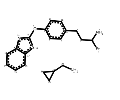 CCC(N)CCc1ccc(Oc2nc3ccccc3s2)cc1.NCC1CC1